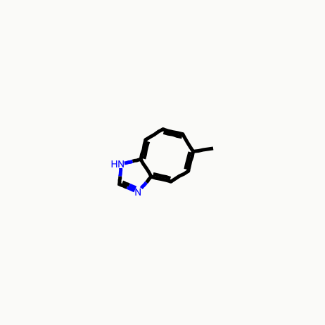 CC1=C/C=c2/nc[nH]/c2=C/C=C\1